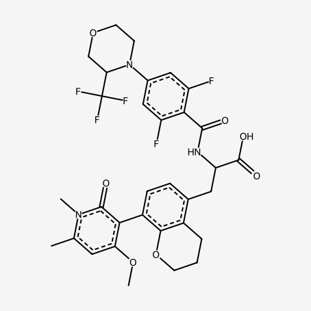 COc1cc(C)n(C)c(=O)c1-c1ccc(CC(NC(=O)c2c(F)cc(N3CCOCC3C(F)(F)F)cc2F)C(=O)O)c2c1OCCC2